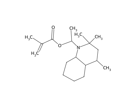 C=C(C)C(=O)OC(C)N1C2CCCCC2C(C)CC1(C)C